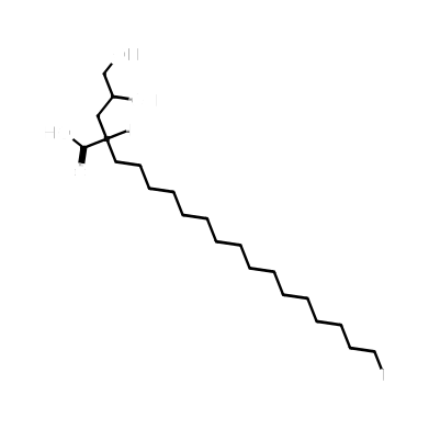 O=C(O)C(I)(CCCCCCCCCCCCCCCCI)CC(O)CO